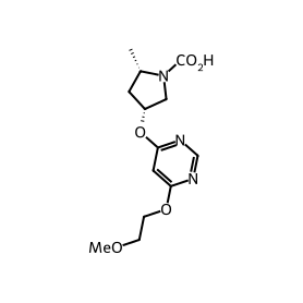 COCCOc1cc(O[C@@H]2C[C@H](C)N(C(=O)O)C2)ncn1